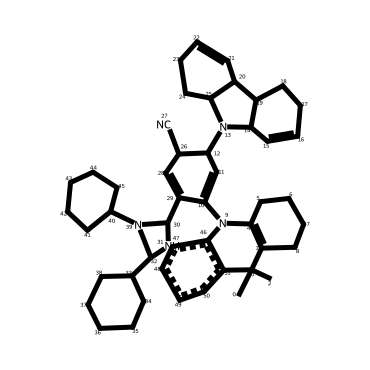 CC1(C)C2=C(CCCC2)N(C2=CC(N3C4C=CCCC4C4C=CCCC43)C(C#N)C=C2C2NC(C3CCCCC3)N2C2CCCCC2)c2ccccc21